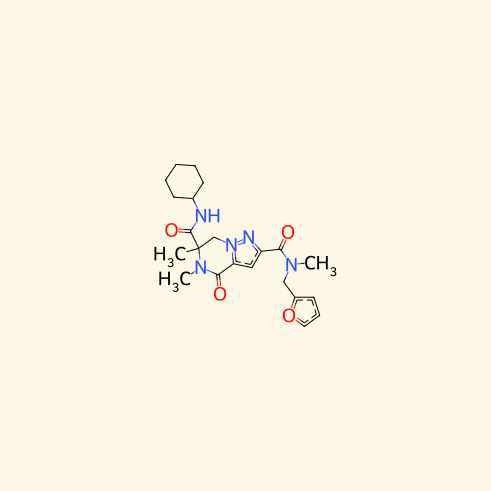 CN(Cc1ccco1)C(=O)c1cc2n(n1)CC(C)(C(=O)NC1CCCCC1)N(C)C2=O